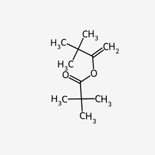 C=C(OC(=O)C(C)(C)C)C(C)(C)C